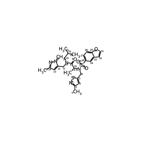 Cc1cc(CN([C@@H](C)C(=O)N(Cc2cc(C)nn2C)CC(C)C)S(=O)(=O)c2ccc3occc3c2)sn1